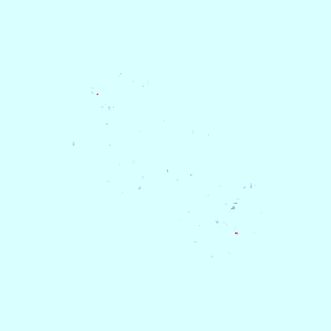 CCc1cc2c(c(-c3c4c(cc(CC)c3OP(Oc3ccccc3C(C)C)Oc3ccccc3C(C)C)CCCC4)c1OP(Oc1ccccc1C(C)C)Oc1ccccc1C(C)C)CCCC2